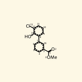 COC(=O)c1cccc(-c2cccc(Cl)c2O)c1